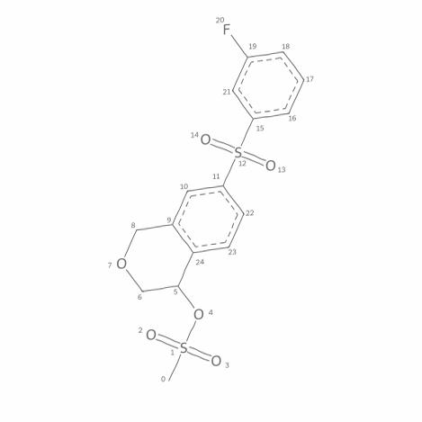 CS(=O)(=O)OC1COCc2cc(S(=O)(=O)c3cccc(F)c3)ccc21